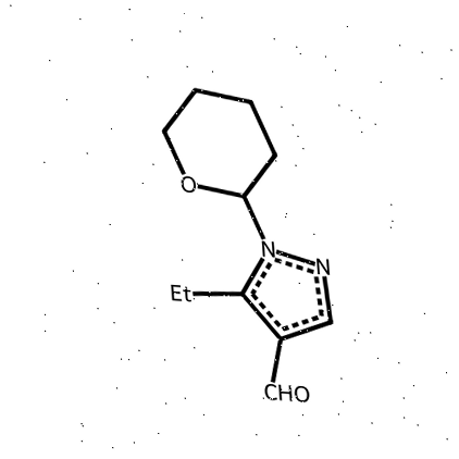 CCc1c(C=O)cnn1C1CCCCO1